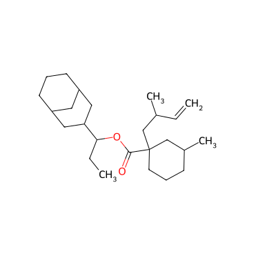 C=CC(C)CC1(C(=O)OC(CC)C2CC3CCCC(C3)C2)CCCC(C)C1